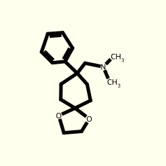 CN(C)CC1(c2ccccc2)CCC2(CC1)OCCO2